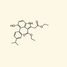 CCOC(=O)Cc1[nH]c2ccc(O)c(-c3ccc(C(C)C)cc3)c2c1C(=O)OCC